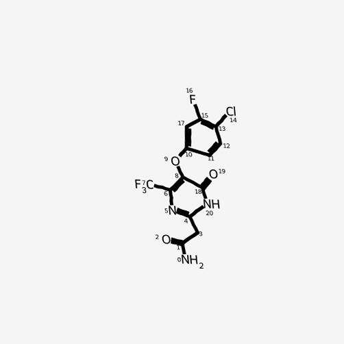 NC(=O)Cc1nc(C(F)(F)F)c(Oc2ccc(Cl)c(F)c2)c(=O)[nH]1